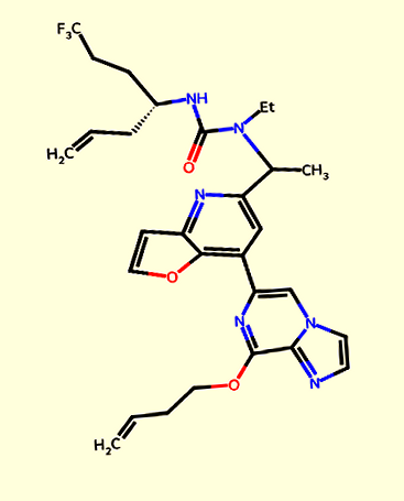 C=CCCOc1nc(-c2cc(C(C)N(CC)C(=O)N[C@H](CC=C)CCC(F)(F)F)nc3ccoc23)cn2ccnc12